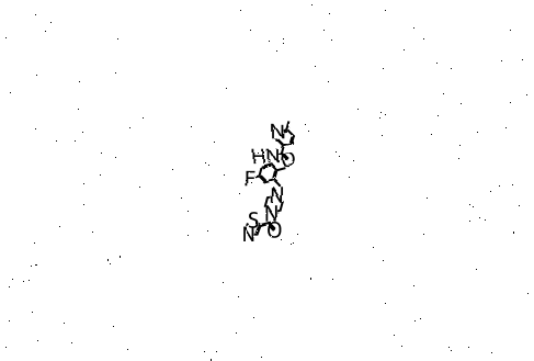 Cc1ccc(C(=O)Nc2cc(F)cc(CN3CCN(C(=O)c4cncs4)CC3)c2C)cn1